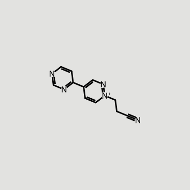 N#CCC[n+]1ccc(-c2ccncn2)cn1